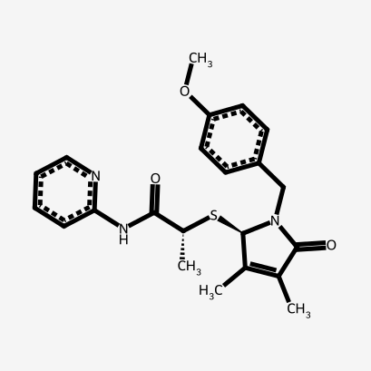 COc1ccc(CN2C(=O)C(C)=C(C)[C@H]2S[C@H](C)C(=O)Nc2ccccn2)cc1